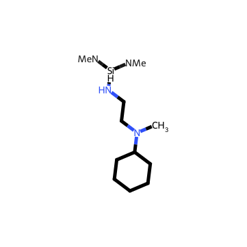 CN[SiH](NC)NCCN(C)C1CCCCC1